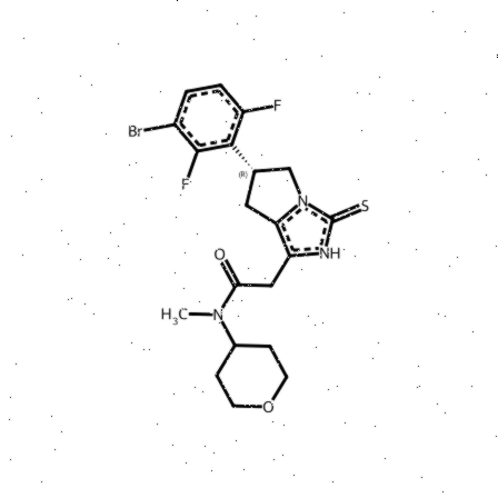 CN(C(=O)Cc1[nH]c(=S)n2c1C[C@H](c1c(F)ccc(Br)c1F)C2)C1CCOCC1